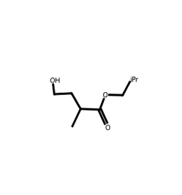 CC(C)COC(=O)C(C)CCO